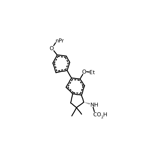 CCCOc1ccc(-c2cc3c(cc2OCC)[C@H](NC(=O)O)C(C)(C)C3)cc1